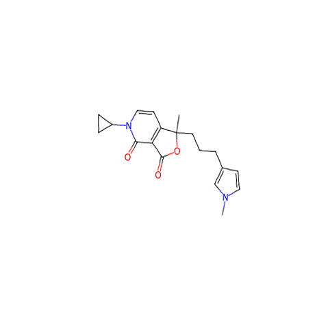 Cn1ccc(CCCC2(C)OC(=O)c3c2ccn(C2CC2)c3=O)c1